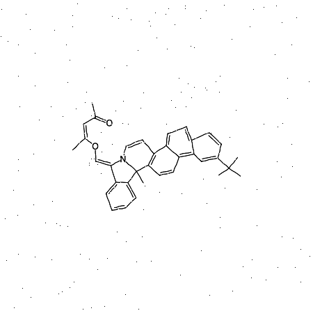 CC(=O)/C=C(/C)O/C=C1/c2ccccc2C2(C)c3ccc4c(ccc5ccc(C(C)(C)C)cc54)c3C=CN12